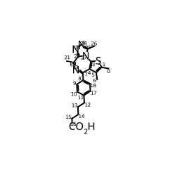 Cc1sc2c(c1C)C(c1ccc(CCCCC(=O)O)cc1)=N[C@@H](C)c1nnc(C)n1-2